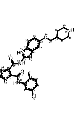 Cc1ccc(Cl)cc1NC(=O)c1nc[nH]c1C(=O)Nc1nc2cc(OCC3CCNCC3)ccc2[nH]1